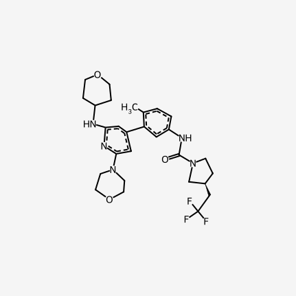 Cc1ccc(NC(=O)N2CC[C@@H](CC(F)(F)F)C2)cc1-c1cc(NC2CCOCC2)nc(N2CCOCC2)c1